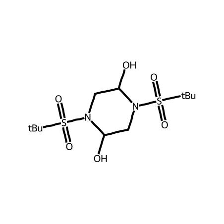 CC(C)(C)S(=O)(=O)N1CC(O)N(S(=O)(=O)C(C)(C)C)CC1O